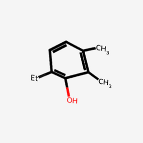 CCc1ccc(C)c(C)c1O